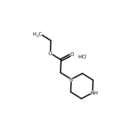 CCOC(=O)CN1CCNCC1.Cl